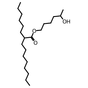 CCCCCCCCC(CCCCCC)C(=O)OCCCCC(C)O